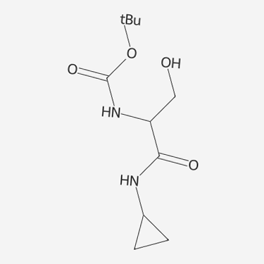 CC(C)(C)OC(=O)NC(CO)C(=O)NC1CC1